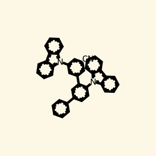 N#Cc1cc(-c2cc(-c3ccccc3)ccc2-n2c3ccccc3c3ccccc32)cc(-n2c3ccccc3c3ccccc32)c1